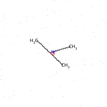 CCCCCCCCCCCCCCCCCC(C=[N+]([O-])CCCCCCCCCCCCCCCCC)CCCCCCCCCCCCCCCC